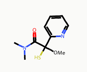 COC(S)(C(=O)N(C)C)c1ccccn1